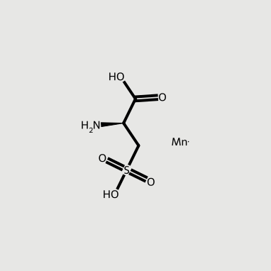 N[C@H](CS(=O)(=O)O)C(=O)O.[Mn]